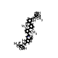 Cc1c(/C=C/c2cc(CN[C@@](C)(CO)C(=O)O)ccc2C(F)(F)F)cccc1-c1cccc(-c2cc(CN[C@@](C)(CO)C(=O)O)ccc2F)c1C